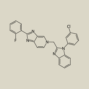 Fc1ccccc1-c1nc2ccn(Cc3nc4ccccc4n3-c3cccc(Cl)c3)cc-2n1